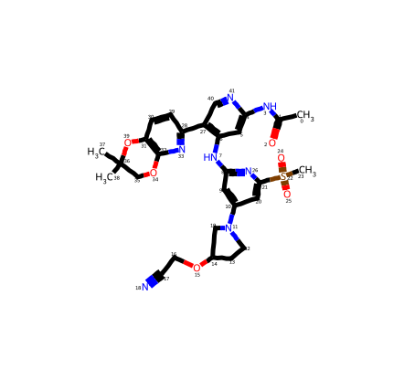 CC(=O)Nc1cc(Nc2cc(N3CCC(OCC#N)C3)cc(S(C)(=O)=O)n2)c(-c2ccc3c(n2)OCC(C)(C)O3)cn1